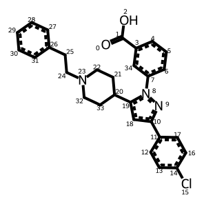 O=C(O)c1cccc(-n2nc(-c3ccc(Cl)cc3)cc2C2CCN(CCc3ccccc3)CC2)c1